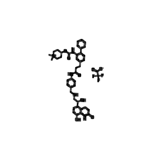 C[N+]1(C)CCC(OC(=O)Nc2cc(CCC(=O)Nc3ccc(CNCC(O)c4ccc(O)c5[nH]c(=O)ccc45)cc3)ccc2-c2ccccc2)CC1.O=C([O-])C(F)(F)F